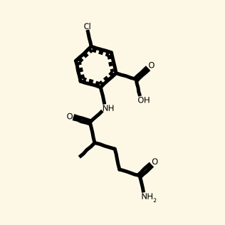 CC(CCC(N)=O)C(=O)Nc1ccc(Cl)cc1C(=O)O